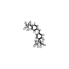 CN(c1ccc(Cc2ccc(N([Si](C)(C)C)[Si](C)(C)C)cc2)cc1)[Si](C)(C)C